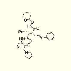 CC(C)C[C@@H](C(=O)NN(CC(C)C)C(=O)CN1CCCC1)[C@H](CC=Cc1ccccc1)C(=O)NOC1CCCCO1